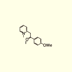 COc1ccc(C(=O)Cc2cccc[n+]2C)cc1.[I-]